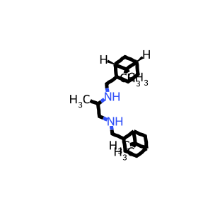 CC(CNCC1CCC2CC1C2(C)C)NCC1CC[C@H]2C[C@@H]1C2(C)C